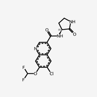 O=C(N[C@H]1CCNC1=O)c1cnc2cc(OC(F)F)c(Cl)cc2c1